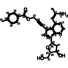 CC(N)=Cc1ncnc2c1c(C#CCOC(=O)c1ccc(C)cc1)nn2[C@H]1CC(O)[C@@H](CO)O1